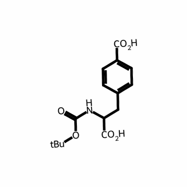 CC(C)(C)OC(=O)NC(Cc1ccc(C(=O)O)cc1)C(=O)O